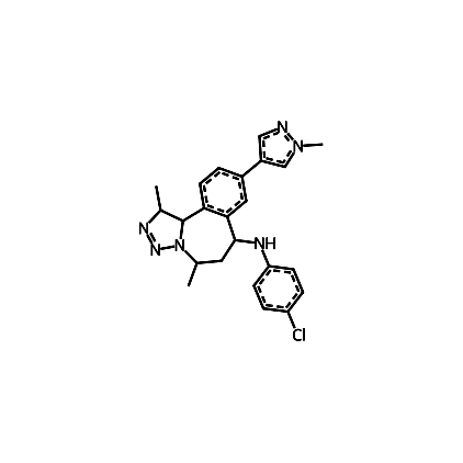 CC1N=NN2C(C)CC(Nc3ccc(Cl)cc3)c3cc(-c4cnn(C)c4)ccc3C12